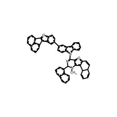 CN1c2c(oc3c2C2C=CC=CC2C=C3)C(n2c3ccccc3c3cc(-c4ccc5oc6c(c5c4)-c4cccc5cccc-6c45)ccc32)=NC1c1cccc2ccccc12